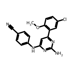 COc1ccc(Cl)cc1-c1cc(Nc2ccc(C#N)cc2)nc(N)n1